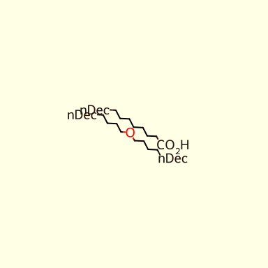 CCCCCCCCCCCCCCCCCC(=O)O.CCCCCCCCCCCCCCOCCCCCCCCCCCCCC